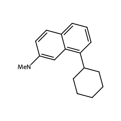 CNc1ccc2cccc(C3CCCCC3)c2c1